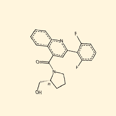 O=C(c1cc(-c2c(F)cccc2F)nc2ccccc12)N1CCC[C@@H]1CO